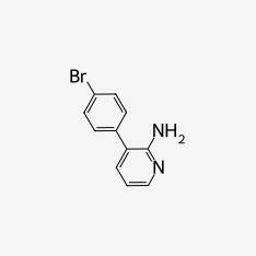 Nc1ncccc1-c1ccc(Br)cc1